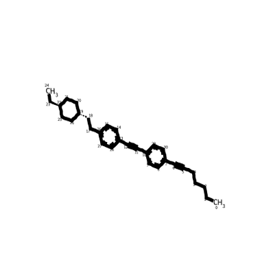 CCCCCC#Cc1ccc(C#Cc2ccc(CC[C@H]3CC[C@H](CC)CC3)cc2)cc1